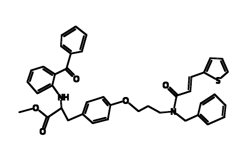 COC(=O)C(Cc1ccc(OCCCN(Cc2ccccc2)C(=O)C=Cc2cccs2)cc1)Nc1ccccc1C(=O)c1ccccc1